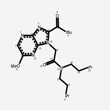 COc1cnc2nc(C(=O)C(C)(C)C)n(CC(=O)N(CCC(C)C)CCC(C)C)c2n1